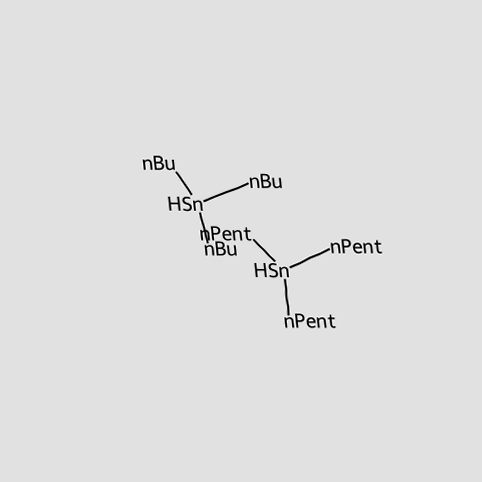 CCCC[CH2][SnH]([CH2]CCCC)[CH2]CCCC.CCC[CH2][SnH]([CH2]CCC)[CH2]CCC